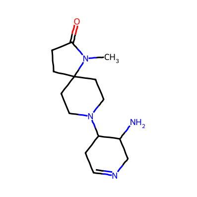 CN1C(=O)CCC12CCN(C1CC=NCC1N)CC2